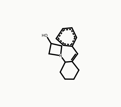 OC1CN(C2CCCC/C2=C/c2ccccc2)C1